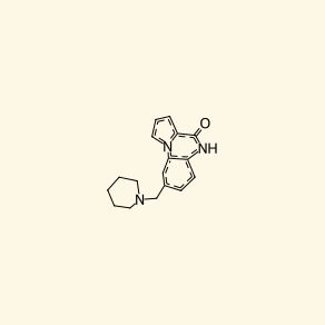 O=c1[nH]c2ccc(CN3CCCCC3)cc2n2cccc12